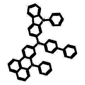 c1ccc(-c2ccc(N(c3ccc4c(c3)N(c3ccccc3)c3cccc5cccc-4c35)c3ccc4c5ccccc5n(-c5ccccc5)c4c3)cc2)cc1